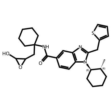 C[C@@H]1CCCC[C@H]1n1c(Cc2cccs2)nc2cc(C(=O)NC3(CC4OC4O)CCCCC3)ccc21